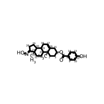 C[C@]12CC[C@H](OC(=O)c3ccc(O)cc3)CC1=CCC1C2CC[C@]2(C)/C(=N/O)CCC12